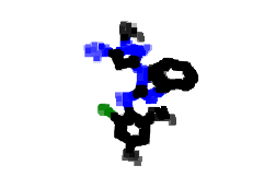 Bc1cc(C)c(Nc2nc3ccccc3n2-c2cc(N)n(C)n2)c(Cl)c1